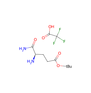 CC(C)(C)OC(=O)CC[C@@H](N)C(N)=O.O=C(O)C(F)(F)F